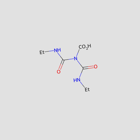 CCNC(=O)N(C(=O)O)C(=O)NCC